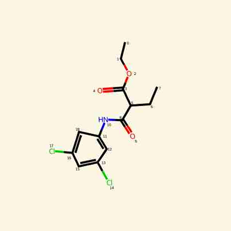 CCOC(=O)C(CC)C(=O)Nc1cc(Cl)cc(Cl)c1